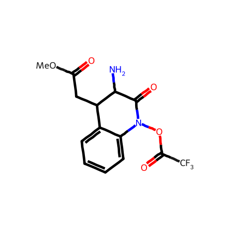 COC(=O)CC1c2ccccc2N(OC(=O)C(F)(F)F)C(=O)C1N